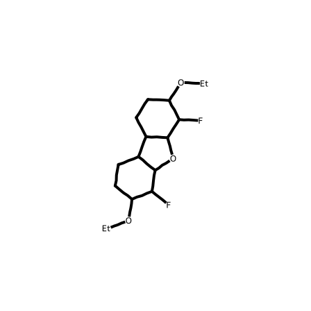 CCOC1CCC2C3CCC(OCC)C(F)C3OC2C1F